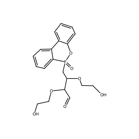 O=CC(OCCO)C(CP1(=O)Oc2ccccc2-c2ccccc21)OCCO